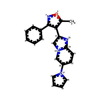 Cc1onc(-c2ccccc2)c1-c1cn2cc(-n3cccc3)ccc2n1